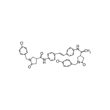 C=C(Nc1ccc(/C=C/c2ccc(NC(=O)C3CC(=O)N(Cc4ccc(Cl)cc4)C3)cc2)cc1)C1CC(=O)N(Cc2ccc(Cl)cc2)C1